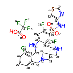 O=C(O)C(F)(F)F.O=S(=O)(Nc1cscn1)c1c(F)cc(NCc2c(Cl)cccc2CN2CC3(CNC3)C2)cc1F